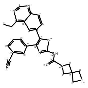 CCc1ncnc2ccc(-c3sc(NC(=O)N4CC5(COC5)C4)nc3-c3cccc(C#N)c3)cc12